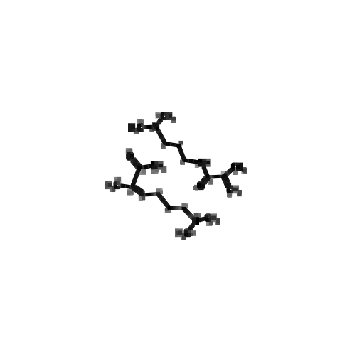 C=C(C)C(=O)NCCCN(C)C.CC(=CCCCN(C)C)C(N)=O